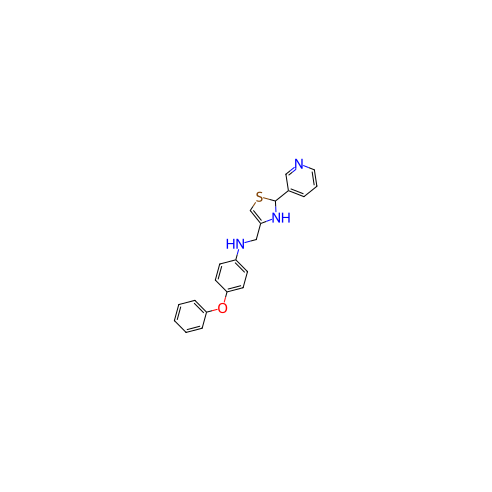 C1=C(CNc2ccc(Oc3ccccc3)cc2)NC(c2cccnc2)S1